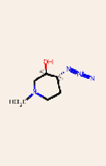 [N-]=[N+]=N[C@@H]1CCN(C(=O)O)C[C@H]1O